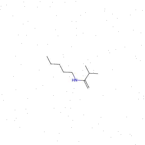 C=C(NCCCCC)C(C)C